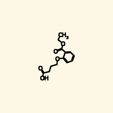 CCOC(=O)c1ccccc1OCCCC(=O)O